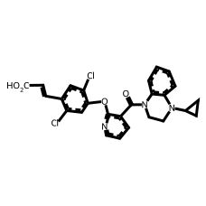 O=C(O)C=Cc1cc(Cl)c(Oc2ncccc2C(=O)N2CCN(C3CC3)c3ccccc32)cc1Cl